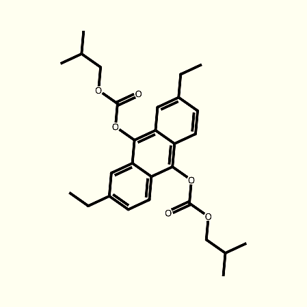 CCc1ccc2c(OC(=O)OCC(C)C)c3ccc(CC)cc3c(OC(=O)OCC(C)C)c2c1